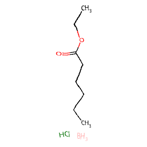 B.CCCCCC(=O)OCC.Cl